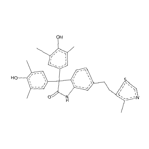 Cc1cc(C2(c3cc(C)c(O)c(C)c3)C(=O)Nc3cc(CCc4scnc4C)ccc32)cc(C)c1O